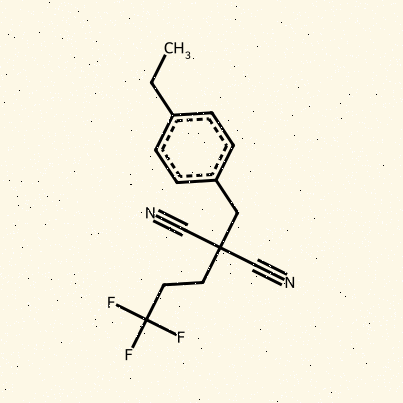 CCc1ccc(CC(C#N)(C#N)CCC(F)(F)F)cc1